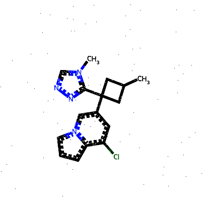 CC1CC(c2cc(Cl)c3cccn3c2)(c2nncn2C)C1